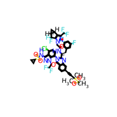 CC(C)(C#Cc1ccc2c(=O)n(-c3ccc(Cl)c4c(NS(=O)(=O)C5CC5)nn(CC(F)F)c34)c([C@H](Cc3cc(F)cc(F)c3)NC(=O)Cn3nc(C(F)F)c4c3C(F)(F)[C@@H]3C[C@H]43)nc2c1)S(C)(=O)=O